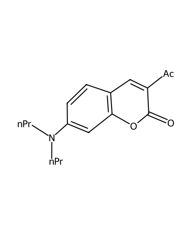 CCCN(CCC)c1ccc2cc(C(C)=O)c(=O)oc2c1